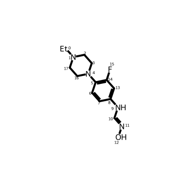 CCN1CCN(c2ccc(N/C=N/O)cc2F)CC1